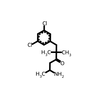 CC(N)CC(=O)C(C)(C)Cc1cc(Cl)cc(Cl)c1